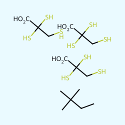 CCC(C)(C)C.O=C(O)C(S)(S)CS.O=C(O)C(S)(S)CS.O=C(O)C(S)(S)CS